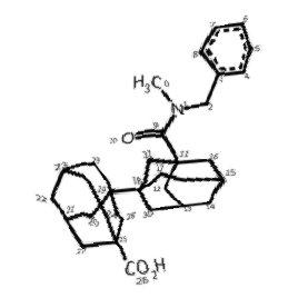 CN(Cc1ccccc1)C(=O)C12CC3CC(C1)CC(C14CC5CC(CC(C(=O)O)(C5)C1)C4)(C3)C2